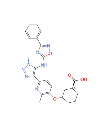 Cc1nc(-c2nnn(C)c2Nc2nc(-c3ccccc3)no2)ccc1OC1CCC[C@H](C(=O)O)C1